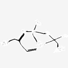 C=CC(CCCC)O[Si](CCCC)(CCCC)OC(CCCC)(CCCC)CCCC